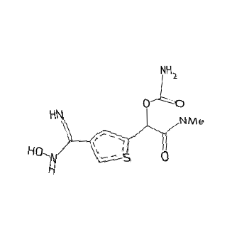 CNC(=O)C(OC(N)=O)c1cc(C(=N)NO)cs1